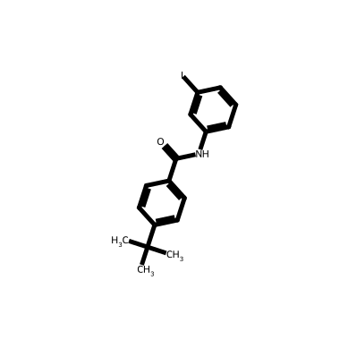 CC(C)(C)c1ccc(C(=O)Nc2cccc(I)c2)cc1